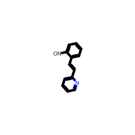 O=Nc1ccccc1/C=C/c1ccccn1